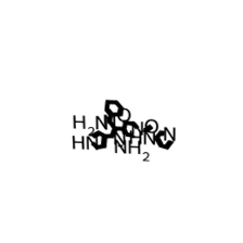 NN(C1=CCCC=C1)c1c2c(n(N)c1C1=CCNC=C1)CN(C(=O)Nc1cccnc1)CC2=O